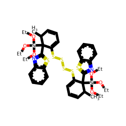 CCO[Si](OCC)(OCC)C1(c2nc3ccccc3s2)C(SSSSC2=CC=CC(C)C2(c2nc3ccccc3s2)[Si](OCC)(OCC)OCC)=CC=CC1C